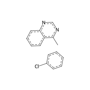 Cc1ncnc2ccccc12.Clc1ccccc1